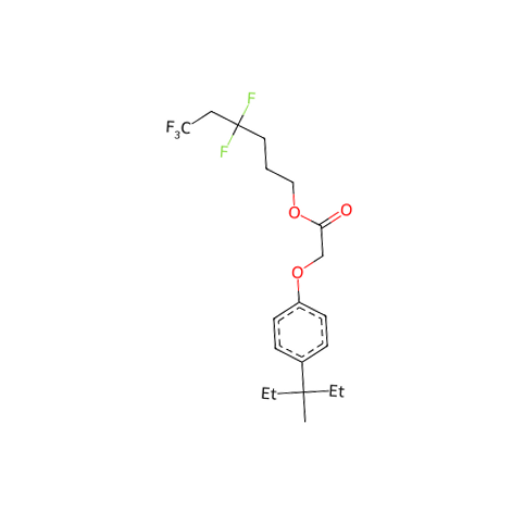 CCC(C)(CC)c1ccc(OCC(=O)OCCCC(F)(F)CC(F)(F)F)cc1